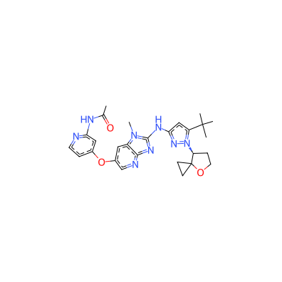 CC(=O)Nc1cc(Oc2cnc3nc(Nc4cc(C(C)(C)C)n([C@H]5CCOC56CC6)n4)n(C)c3c2)ccn1